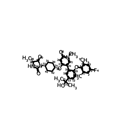 Cc1cc(F)cc(C)c1Oc1ccc(C(C)(C)O)cc1-c1cn(C)c(=O)cc1O[C@H]1CC[C@H](N2C(=O)N[C@H](C)C2=O)CC1